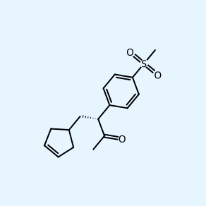 CC(=O)[C@H](CC1CC=CC1)c1ccc(S(C)(=O)=O)cc1